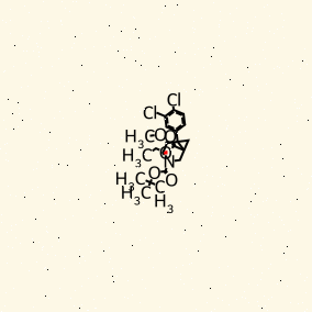 CCOC(=O)C12CN(C(=O)OC(C)(C)C)CC(OC)C1(c1ccc(Cl)c(Cl)c1)C2